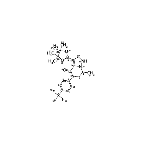 CC1CN(c2ccc(C(F)(F)F)cc2)C(=O)C2=C(B3OC(C)(C)C(C)(C)O3)CNN21